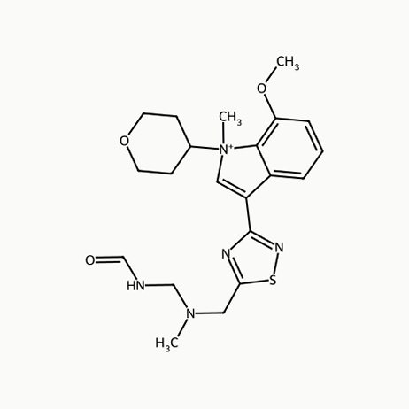 COc1cccc2c1[N+](C)(C1CCOCC1)C=C2c1nsc(CN(C)CNC=O)n1